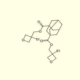 CCC1(COC(=O)C23CC4CC(C2)CC(C(=O)OCC2(CC)COC2)(C4)C3)COC1